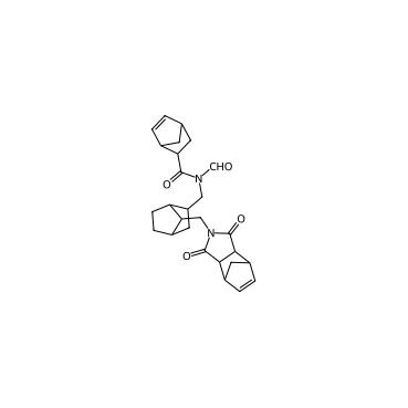 O=CN(CC1CC2CCC1C2CN1C(=O)C2C3C=CC(C3)C2C1=O)C(=O)C1CC2C=CC1C2